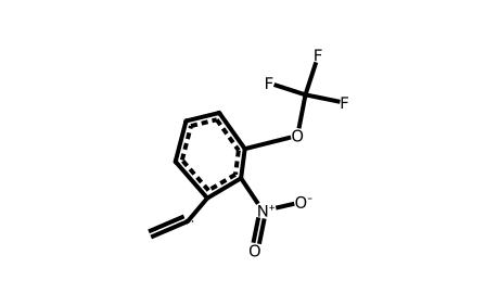 C=[C]c1cccc(OC(F)(F)F)c1[N+](=O)[O-]